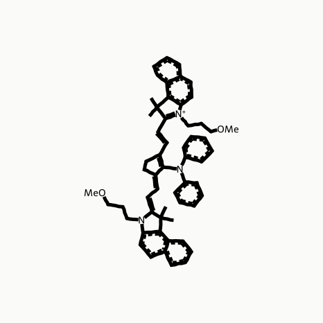 COCCCN1/C(=C/C=C2\CCC(/C=C/C3=[N+](CCCOC)c4ccc5ccccc5c4C3(C)C)=C2N(c2ccccc2)c2ccccc2)C(C)(C)c2c1ccc1ccccc21